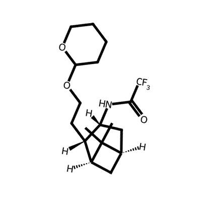 CC1(C)[C@H]2C[C@@H](NC(=O)C(F)(F)F)[C@@H](CCOC3CCCCO3)[C@@H]1C2